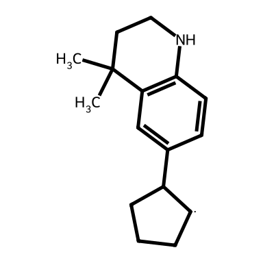 CC1(C)CCNc2ccc(C3[CH]CCC3)cc21